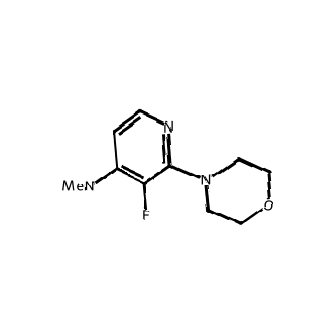 CNc1ccnc(N2CCOCC2)c1F